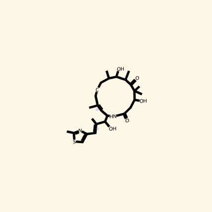 C/C1=C/C(C(O)/C(C)=C/c2csc(C)n2)NC(=O)CC(O)C(C)(C)C(=O)C(C)C(O)C(C)CCC1